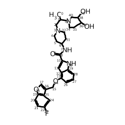 CC(CN1CCC(NC(=O)c2cc3c(OCc4coc5ccc(F)cc45)cccc3[nH]2)CC1)N1CCC(O)C(O)C1